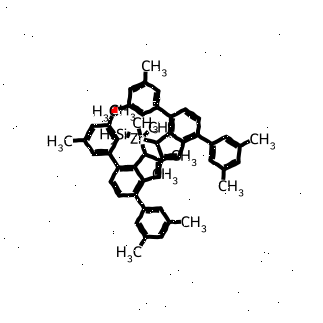 CC1=Cc2c(-c3cc(C)cc(C)c3)ccc(-c3cc(C)cc(C)c3)c2[CH]1[Zr]([CH3])([CH3])(=[SiH2])[CH]1C(C)=Cc2c(-c3cc(C)cc(C)c3)ccc(-c3cc(C)cc(C)c3)c21